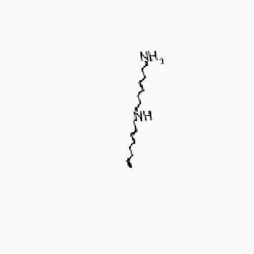 C=CCCCC=CCNCCCCCCCCN